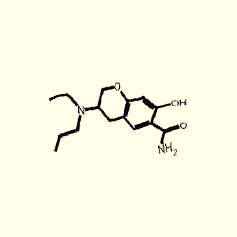 CCCN(CC)C1COc2cc(O)c(C(N)=O)cc2C1